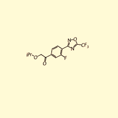 CC(C)OCC(=O)c1ccc(-c2noc(C(F)(F)F)n2)c(F)c1